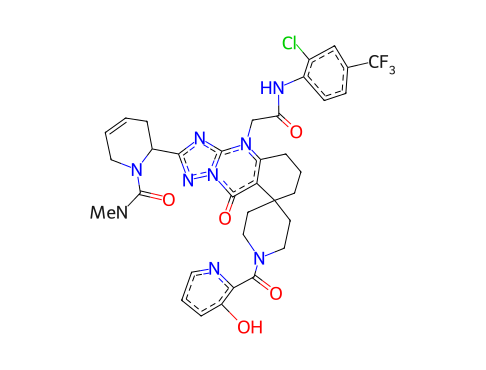 CNC(=O)N1CC=CCC1c1nc2n(CC(=O)Nc3ccc(C(F)(F)F)cc3Cl)c3c(c(=O)n2n1)C1(CCC3)CCN(C(=O)c2ncccc2O)CC1